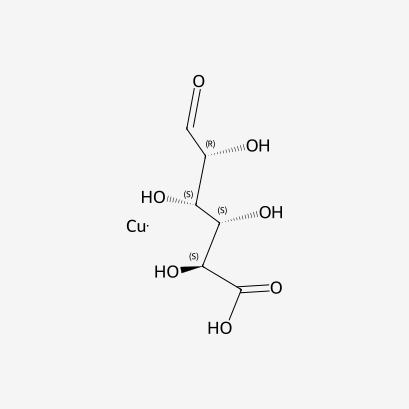 O=C[C@H](O)[C@@H](O)[C@H](O)[C@H](O)C(=O)O.[Cu]